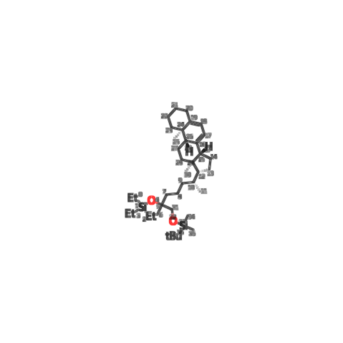 CC[Si](CC)(CC)OC(C)(CCC[C@@H](C)[C@H]1CC[C@H]2C3=CC=C4CCCC[C@]4(C)[C@H]3CC[C@]12C)CO[Si](C)(C)C(C)(C)C